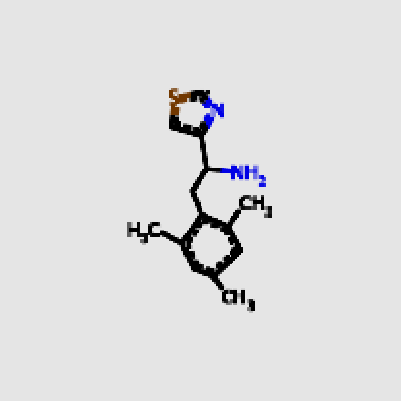 Cc1cc(C)c(CC(N)c2cs[c]n2)c(C)c1